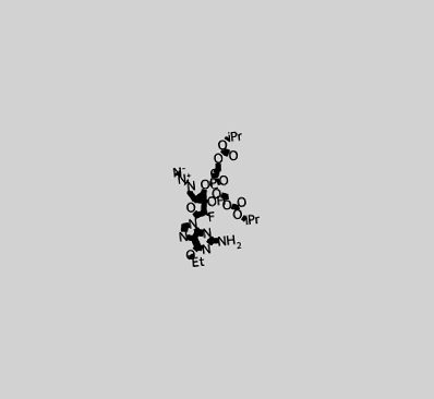 CCOc1nc(N)nc2c1ncn2[C@@H]1OC2(CN=[N+]=[N-])C(OP(=O)(OCOC(=O)OC(C)C)OCOC(=O)OC(C)C)[C@]2(O)[C@H]1F